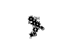 Cc1nc2c(N3CCN(C(=O)OC(C)(C)C)CC3)c(N(C)C=O)cnc2c(C)c1-c1c(O)cccc1F